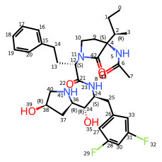 CC[C@@H](C)[C@@]1(NC(C)=O)CCN([C@@H](CCc2ccccc2)C(=O)N[C@@H](Cc2cc(F)cc(F)c2)[C@H](O)[C@H]2C[C@@H](O)CN2)C1=O